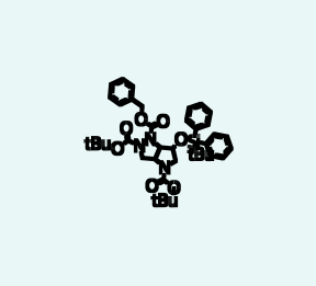 CC(C)(C)OC(=O)N1CC(O[Si](c2ccccc2)(c2ccccc2)C(C)(C)C)C2C1CN(C(=O)OC(C)(C)C)N2C(=O)OCc1ccccc1